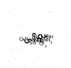 NC(=NO)C1=CC=C[C@](OC(=O)C(F)(F)F)(C(NS(=O)(=O)c2cc3nc(Cl)ccc3s2)N2CCCC2)C1=O